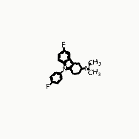 CN(C)C1CCc2c(c3cc(F)ccc3n2-c2ccc(F)cc2)C1